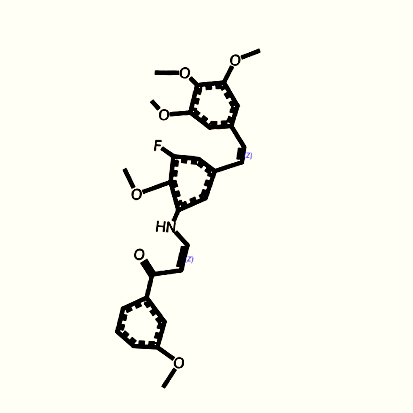 COc1cccc(C(=O)/C=C\Nc2cc(/C=C\c3cc(OC)c(OC)c(OC)c3)cc(F)c2OC)c1